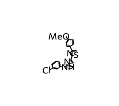 COc1ccc(-c2csc(-c3csc(Nc4cccc(Cl)c4)n3)n2)cc1